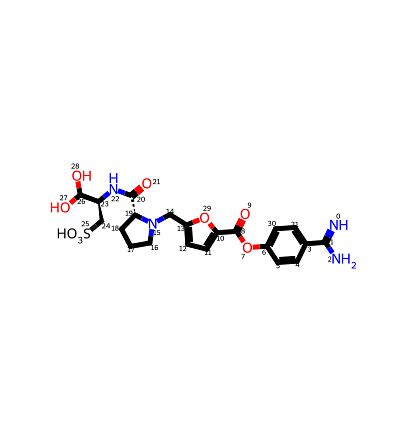 N=C(N)c1ccc(OC(=O)c2ccc(CN3CCC[C@@H]3C(=O)N[C@@H](CS(=O)(=O)O)C(O)O)o2)cc1